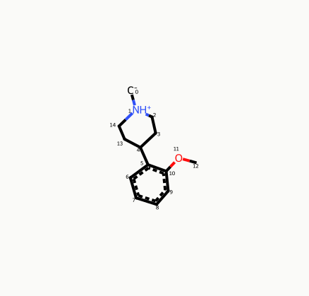 [CH2-][NH+]1CCC(c2ccccc2OC)CC1